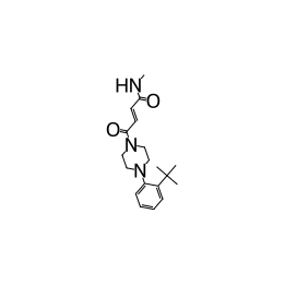 CNC(=O)C=CC(=O)N1CCN(c2ccccc2C(C)(C)C)CC1